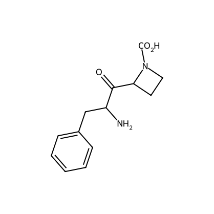 NC(Cc1ccccc1)C(=O)C1CCN1C(=O)O